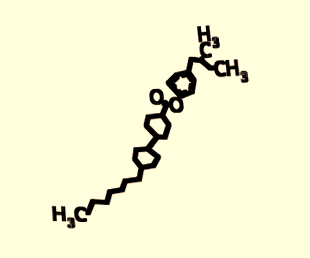 CCCCCCCCC1CCC(C2CCC(C(=O)Oc3ccc(CC(C)CC)cc3)CC2)CC1